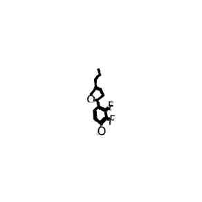 CCCC1CCC(c2ccc(OC)c(F)c2F)OC1